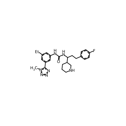 CCc1cc(NC(=O)NC(CCc2ccc(F)cc2)C2CCCNC2)cc(-c2nnnn2C)c1